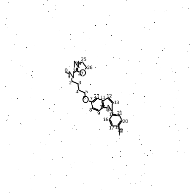 CN(CCCCOc1ccc2c(ccn2-c2ccc(F)cc2)c1)C1=NCCO1